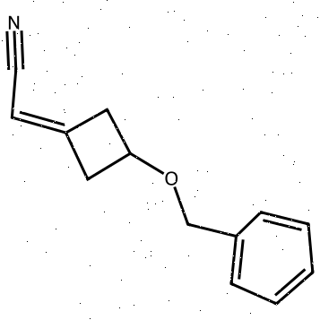 N#CC=C1CC(OCc2ccccc2)C1